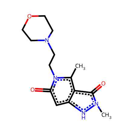 Cc1c2c(=O)n(C)[nH]c2cc(=O)n1CCN1CCOCC1